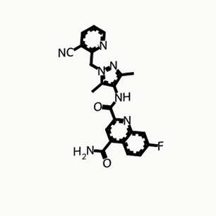 Cc1nn(Cc2ncccc2C#N)c(C)c1NC(=O)c1cc(C(N)=O)c2ccc(F)cc2n1